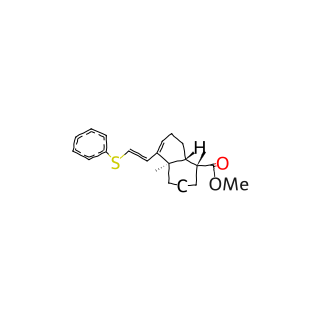 COC(=O)[C@]1(C)CCC[C@@]2(C)C(/C=C/Sc3ccccc3)=CCC[C@H]12